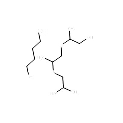 CC(C)CCCCC(=O)O.CC(O)COC(C)COC(C)CO